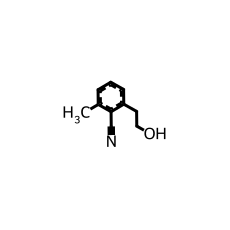 Cc1cccc(CCO)c1C#N